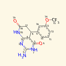 Nc1nc2c(c(=O)[nH]1)C(c1cccc(OC(F)(F)F)c1)CC(=O)N2